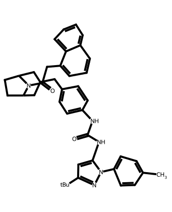 Cc1ccc(-n2nc(C(C)(C)C)cc2NC(=O)Nc2ccc(CC3CC4CCC(C3)N4C(=O)Cc3cccc4ccccc34)cc2)cc1